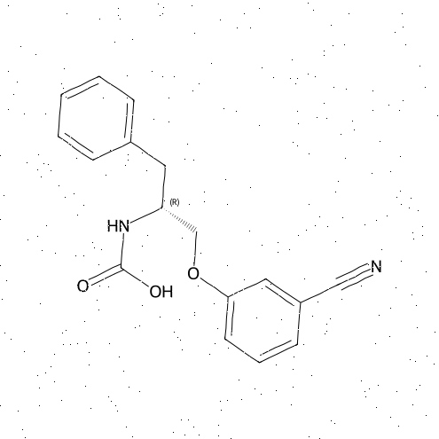 N#Cc1cccc(OC[C@@H](Cc2ccccc2)NC(=O)O)c1